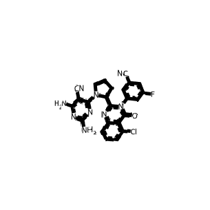 N#Cc1cc(F)cc(-n2c(C3CCCN3c3nc(N)nc(N)c3C#N)nc3cccc(Cl)c3c2=O)c1